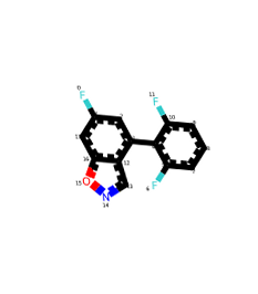 Fc1cc(-c2c(F)cccc2F)c2cnoc2c1